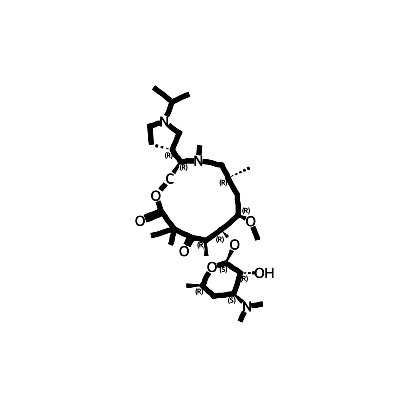 CO[C@@H]1C[C@@H](C)CN(C)[C@H]([C@@H]2CCN(C(C)C)C2)COC(=O)C(C)(C)C(=O)[C@H](C)[C@H]1O[C@@H]1O[C@H](C)C[C@H](N(C)C)[C@H]1O